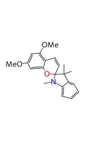 COc1cc(OC)c2c(c1)OC1(C=C2)N(C)c2ccccc2C1(C)C